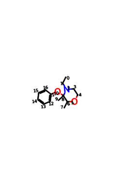 CCN1CCOC(C)C1(C)Oc1ccccc1